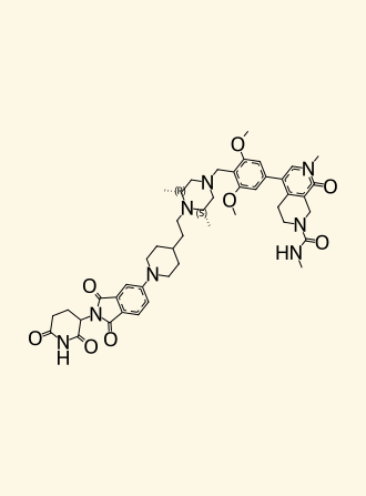 CNC(=O)N1CCc2c(-c3cc(OC)c(CN4C[C@@H](C)N(CCC5CCN(c6ccc7c(c6)C(=O)N(C6CCC(=O)NC6=O)C7=O)CC5)[C@@H](C)C4)c(OC)c3)cn(C)c(=O)c2C1